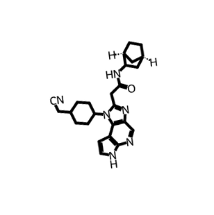 N#CCC1CCC(n2c(CC(=O)NC3C[C@@H]4CC[C@H]3C4)nc3cnc4[nH]ccc4c32)CC1